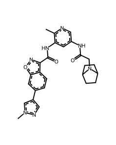 Cc1ncc(NC(=O)CN2C3CCC2CC3)cc1NC(=O)c1noc2cc(-c3cnn(C)c3)ccc12